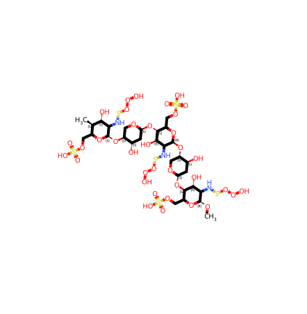 CO[C@@H]1OC(COS(=O)(=O)O)[C@@H](O[C@H]2C[C@H](O)[C@@H](O[C@@H]3OC(COS(=O)(=O)O)[C@@H](O[C@H]4C[C@H](O)[C@@H](O[C@@H]5OC(COS(=O)(=O)O)[C@@H](C)[C@H](O)C5NSOOO)CO4)[C@H](O)C3NSOOO)CO2)[C@H](O)C1NSOOO